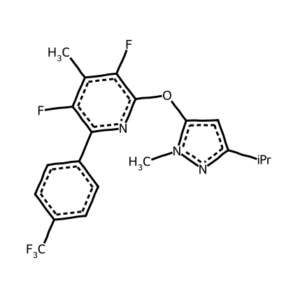 Cc1c(F)c(Oc2cc(C(C)C)nn2C)nc(-c2ccc(C(F)(F)F)cc2)c1F